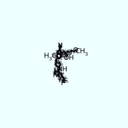 COCCOCC(O)(CO)Cn1c(C#N)cc2c(C)c(CN3CCC(Nc4ncnc5sc(CC(F)(F)F)cc45)CC3)ccc21